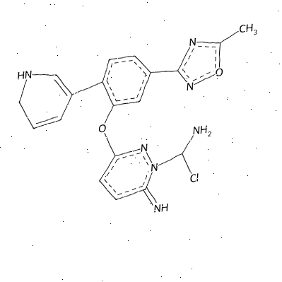 Cc1nc(-c2ccc(C3=CNCC=C3)c(Oc3ccc(=N)n(C(N)Cl)n3)c2)no1